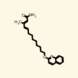 CC(C=CCCCCCCCCOc1ccc2ccccc2n1)=CC(N)=O